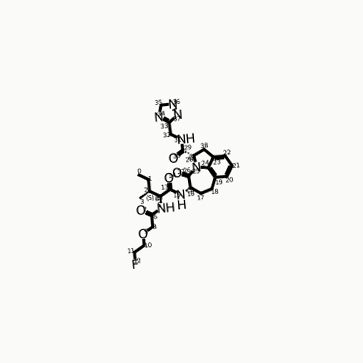 CC[C@H](C)[C@H](NC(=O)COCCF)C(=O)N[C@H]1CCc2cccc3c2N(C1=O)[C@H](C(=O)NCC1=NCN=N1)C3